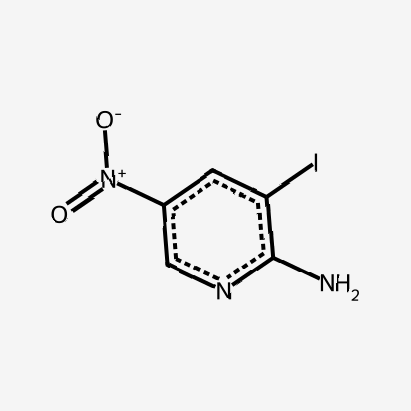 Nc1ncc([N+](=O)[O-])cc1I